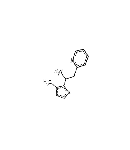 Cc1ccsc1C(N)Cc1ccccn1